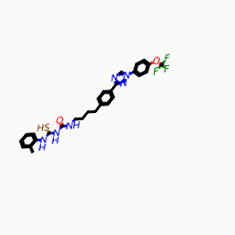 Cc1ccccc1NC(S)NC(=O)NCCCCc1ccc(-c2ncn(-c3ccc(OC(F)(F)F)cc3)n2)cc1